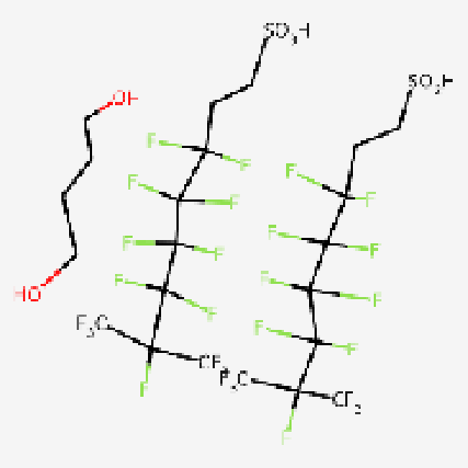 O=S(=O)(O)CCC(F)(F)C(F)(F)C(F)(F)C(F)(F)C(F)(C(F)(F)F)C(F)(F)F.O=S(=O)(O)CCC(F)(F)C(F)(F)C(F)(F)C(F)(F)C(F)(C(F)(F)F)C(F)(F)F.OCCCCO